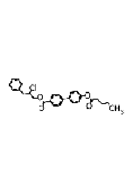 CCCCC(=O)Oc1ccc(-c2ccc(C(=O)OCC(Cl)Cc3ccccc3)cc2)cc1